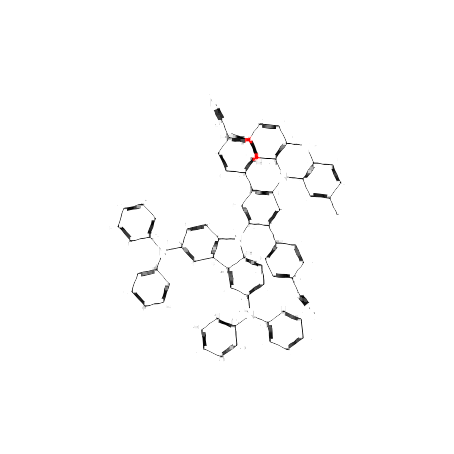 Cc1ccc2c(c1)N(c1cc(-c3ccc(C#N)cc3)c(-n3c4ccc(N(c5ccccc5)c5ccccc5)cc4c4cc(N(c5ccccc5)c5ccccc5)ccc43)cc1-c1ccc(C#N)cc1)c1cc(C)ccc1O2